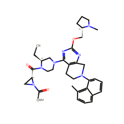 COC(=O)N1C[C@@H]1C(=O)N1CCN(c2nc(OC[C@@H]3CCCN3C)nc3c2CCN(c2cccc4cccc(C)c24)C3)C[C@@H]1CC#N